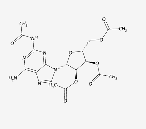 CC(=O)Nc1nc(N)c2ncn([C@@H]3O[C@H](COC(C)=O)[C@@H](OC(C)=O)[C@H]3OC(C)=O)c2n1